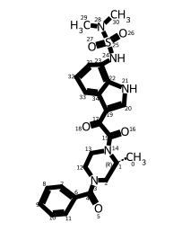 C[C@@H]1CN(C(=O)c2ccccc2)CCN1C(=O)C(=O)c1c[nH]c2c(NS(=O)(=O)N(C)C)cccc12